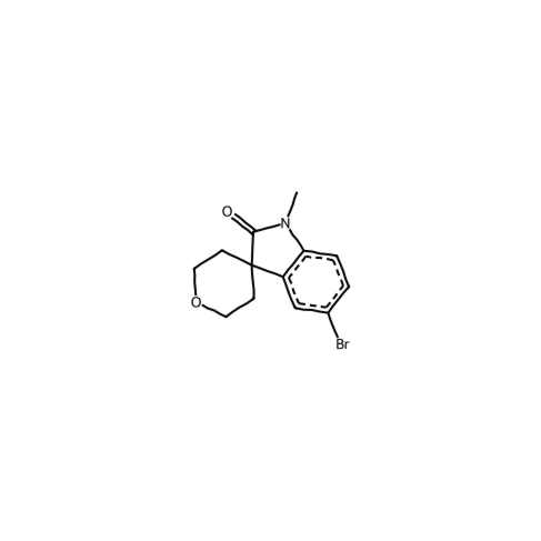 CN1C(=O)C2(CCOCC2)c2cc(Br)ccc21